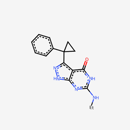 CCNc1nc2[nH]nc(C3(c4ccccc4)CC3)c2c(=O)[nH]1